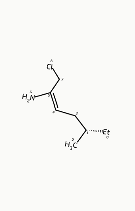 CC[C@H](C)C/C=C(/N)CCl